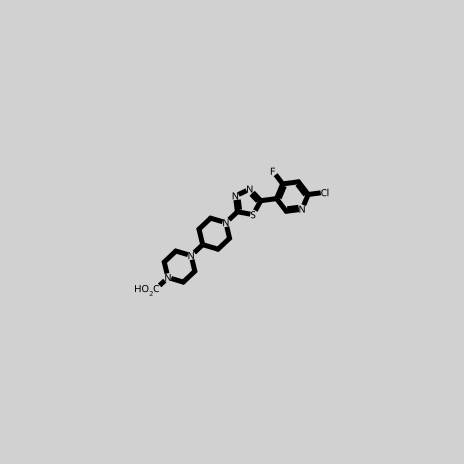 O=C(O)N1CCN(C2CCN(c3nnc(-c4cnc(Cl)cc4F)s3)CC2)CC1